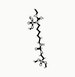 CCOC(=O)N(CCCCCCNC(=O)OCCP(=O)(OC)OC)P(=O)(OC)OC